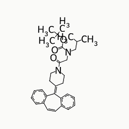 CC(C)CN(CC(=O)N1CCC(=C2c3ccccc3C=Cc3ccccc32)CC1)C(=O)OC(C)(C)C